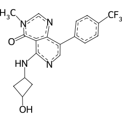 Cn1cnc2c(-c3ccc(C(F)(F)F)cc3)cnc(NC3CC(O)C3)c2c1=O